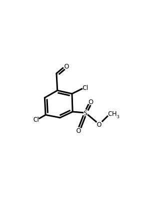 COS(=O)(=O)c1cc(Cl)cc(C=O)c1Cl